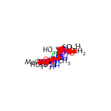 C=CS(=O)(=O)c1ccc(/N=N/c2c(S(=O)(=O)O)cc3cc(S(=O)(=O)O)cc(Nc4nc(Cl)nc(NC(C)CNc5nc(F)nc(Nc6ccc7c(O)c(/N=N/c8ccc(OC)cc8S(=O)(=O)O)c(S(=O)(=O)O)cc7c6)n5)n4)c3c2O)cc1